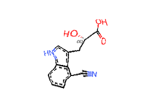 N#Cc1cccc2[nH]cc(C[C@H](O)C(=O)O)c12